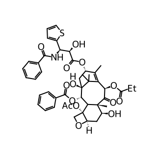 CCC(=O)O[C@H]1C(=O)[C@@]2(C)C([C@H](OC(=O)c3ccccc3)[C@]3(O)C[C@H](OC(=O)[C@H](O)[C@@H](NC(=O)c4ccccc4)c4cccs4)C(C)=C1C3(C)C)[C@]1(OC(C)=O)CO[C@@H]1C[C@@H]2O